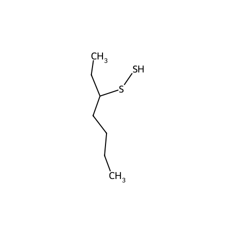 CCCCC(CC)SS